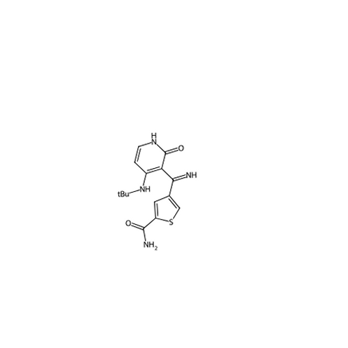 CC(C)(C)Nc1cc[nH]c(=O)c1C(=N)c1csc(C(N)=O)c1